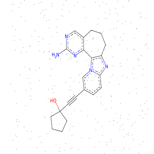 Nc1ncc2c(n1)-c1c(nc3ccc(C#CC4(O)CCCC4)cn13)CCC2